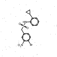 O=[N+]([O-])c1cc(CS(=O)(=O)Nc2ccccc2C2CC2)ccc1Br